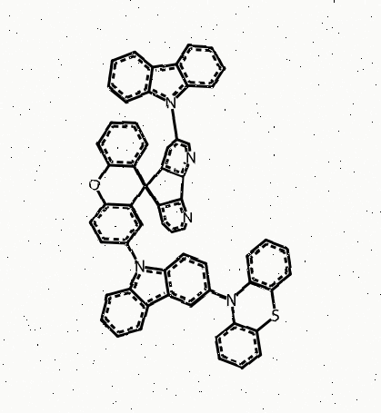 c1ccc2c(c1)Oc1ccc(-n3c4ccccc4c4cc(N5c6ccccc6Sc6ccccc65)ccc43)cc1C21c2cccnc2-c2ncc(-n3c4ccccc4c4ccccc43)cc21